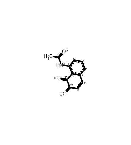 CC(=O)Nc1cccc2c1C(=O)C(=O)C=C2